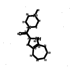 CN1CCN(C(=O)C2CC3=C(CCCCC3)N2)CC1